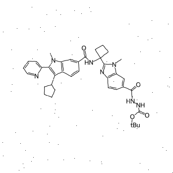 Cn1c(C2(NC(=O)c3ccc4c(C5CCCC5)c(-c5ccccn5)n(C)c4c3)CCC2)nc2ccc(C(=O)NNC(=O)OC(C)(C)C)cc21